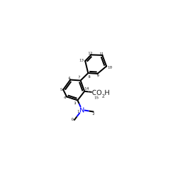 CN(C)c1cccc(-c2ccccc2)c1C(=O)O